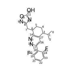 CC(C)C1CCC(Cc2noc(O)n2)c2nnc(-c3c(F)cccc3F)cc21